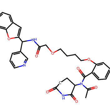 CC(=O)N(C(=O)c1ccccc1OCCCCOCC(=O)NC(c1cccnc1)c1cc2ccccc2o1)C1CCC(=O)NC1=O